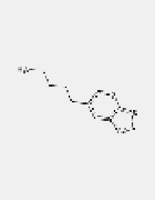 CCCCCc1ccc2sccc2c1